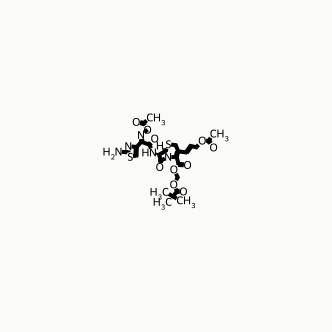 CC(=O)OC/C=C/C1=C(C(=O)OCOC(=O)C(C)(C)C)N2C(=O)[C@@H](NC(=O)/C(=N\OC(C)=O)c3csc(N)n3)[C@H]2SC1